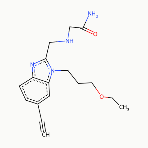 C#Cc1ccc2nc(CNCC(N)=O)n(CCCOCC)c2c1